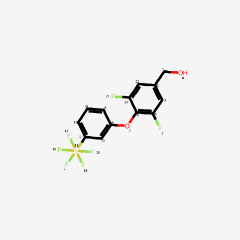 OCc1cc(F)c(Oc2cccc(S(F)(F)(F)(F)F)c2)c(F)c1